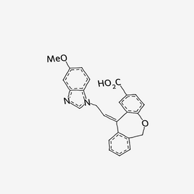 COc1ccc2c(c1)ncn2CC=C1c2ccccc2COc2ccc(C(=O)O)cc21